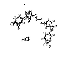 Cl.Cn1c(SCCCN2CC[C@]3(C[C@@H]3c3ccc(C(F)(F)F)cc3)C2)nnc1-c1ccc(=O)n(C)c1